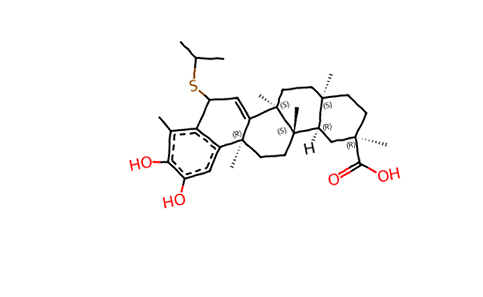 Cc1c(O)c(O)cc2c1C(SC(C)C)C=C1[C@@]2(C)CC[C@@]2(C)[C@@H]3C[C@](C)(C(=O)O)CC[C@]3(C)CC[C@]12C